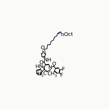 CCCCCCCC/C=C\CCCCCCCC(=O)N1CC[C@@H](NC(=O)C2=CN(C(=O)c3ccc(F)c(F)c3)CC(C)(C)c3c2[nH]c2ccccc32)C1